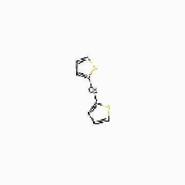 c1cs[c]([Os][c]2cccs2)c1